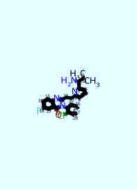 CC(C)[C@H](N)c1cccc(CCc2nc3ccc(F)cc3c(=O)n2-c2ccccc2Cl)n1